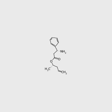 C=CC[C@H](C)OC(=O)C[C@@H](N)c1ccccc1